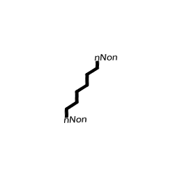 CCCCCCCCCCCCCCCCCCCCCCCC